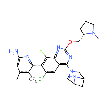 Cc1cc(N)nc(-c2c(Cl)cc3c(N4CC5CC(C4)N5)nc(OC[C@@H]4CCCN4C)nc3c2F)c1C(F)(F)F